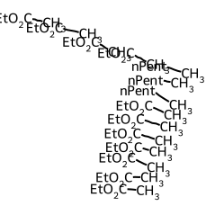 CCCCCC.CCCCCC.CCCCCC.CCOC(C)=O.CCOC(C)=O.CCOC(C)=O.CCOC(C)=O.CCOC(C)=O.CCOC(C)=O.CCOC(C)=O.CCOC(C)=O.CCOC(C)=O.CCOC(C)=O.CCOC(C)=O